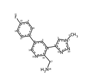 Cn1cc(-c2cc(-c3ccc(F)cc3)cnc2CN)nn1